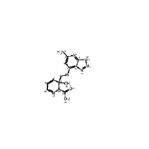 CC1(CSc2cc(N)nc3[nH]nnc23)C=CC=NC1C(=O)O